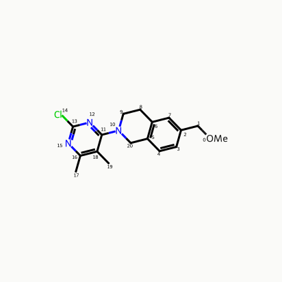 COCc1ccc2c(c1)CCN(c1nc(Cl)nc(C)c1C)C2